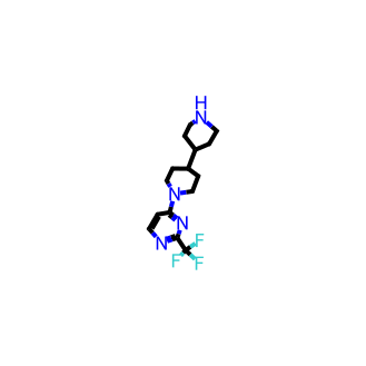 FC(F)(F)c1nccc(N2CCC(C3CCNCC3)CC2)n1